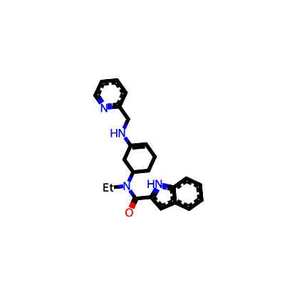 CCN(C(=O)c1cc2ccccc2[nH]1)C1CCC=C(NCc2ccccn2)C1